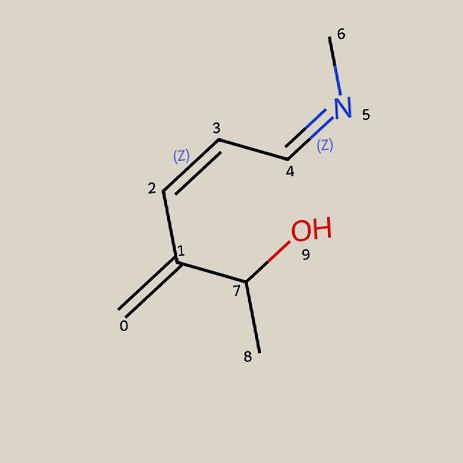 C=C(/C=C\C=N/C)C(C)O